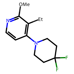 CCc1c(N2CCC(F)(F)CC2)ccnc1OC